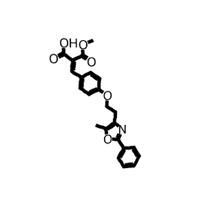 COC(=O)C(=Cc1ccc(OCCc2nc(-c3ccccc3)oc2C)cc1)C(=O)O